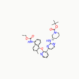 CCOC(=O)Nc1cccc2c(Oc3ncccc3-c3ccnc(N[C@H]4CCCN(C(=O)OC(C)(C)C)C4)n3)c(C)ccc12